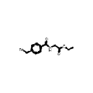 CCOC(=O)CNC(=O)c1ccc(CBr)cc1